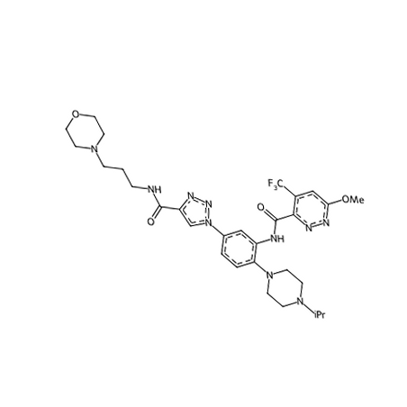 COc1cc(C(F)(F)F)c(C(=O)Nc2cc(-n3cc(C(=O)NCCCN4CCOCC4)nn3)ccc2N2CCN(C(C)C)CC2)nn1